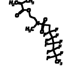 C=C(C)C(=O)OCCN(C)S(=O)(=O)CC(F)(F)C(F)(F)C(F)(F)C(F)(F)C(F)(F)C(F)(F)F